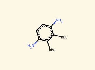 CCCCc1c(N)ccc(N)c1CCCC